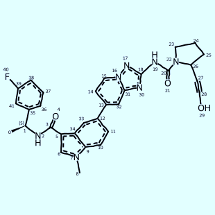 C[C@H](NC(=O)c1cn(C)c2ccc(-c3ccn4nc(NC(=O)N5CCCC5C#CO)nc4c3)cc12)c1cccc(F)c1